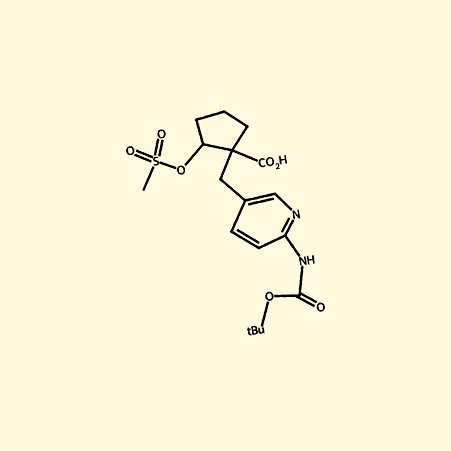 CC(C)(C)OC(=O)Nc1ccc(CC2(C(=O)O)CCCC2OS(C)(=O)=O)cn1